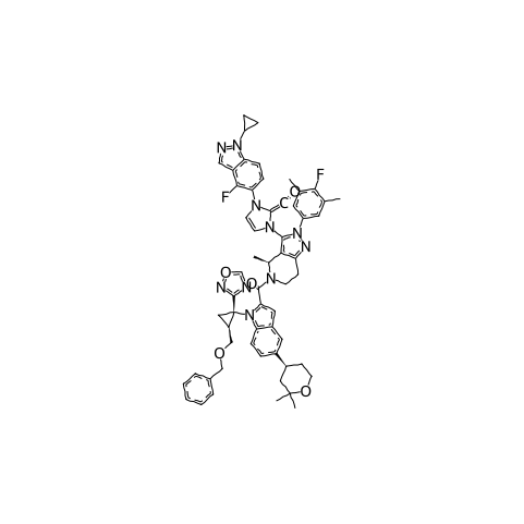 Cc1cc(-n2nc3c(c2N2C=CN(c4ccc5c(cnn5C5CC5)c4F)C2=C=O)[C@H](C)N(C(=O)c2cc4cc([C@H]5CCOC(C)(C)C5)ccc4n2[C@@]2(c4ncon4)C[C@@H]2COCc2ccccc2)CC3)cc(C)c1F